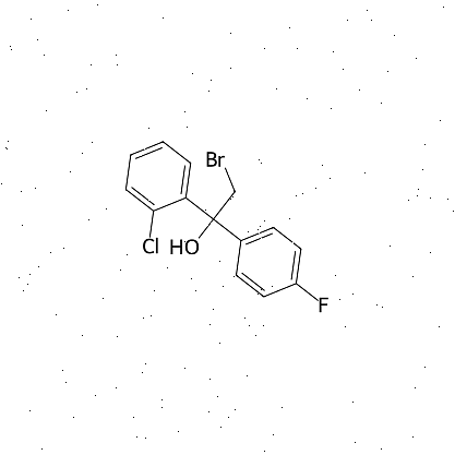 OC(CBr)(c1ccc(F)cc1)c1ccccc1Cl